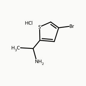 CC(N)c1cc(Br)cs1.Cl